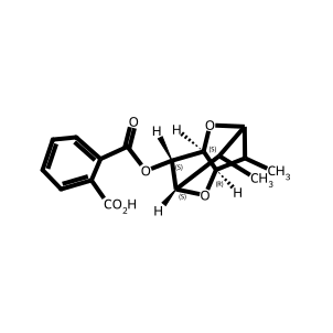 CC1C2O[C@@H]3[C@@H](OC(=O)c4ccccc4C(=O)O)[C@@H](O[C@H]13)C2C